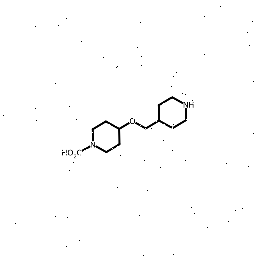 O=C(O)N1CCC(OCC2CCNCC2)CC1